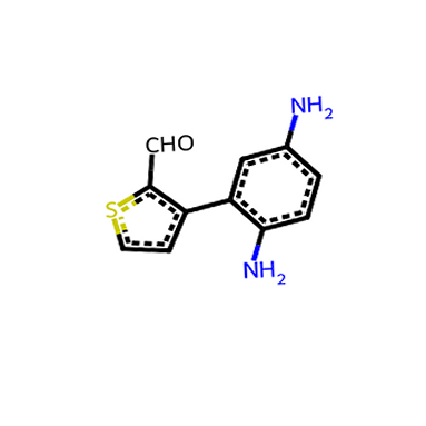 Nc1ccc(N)c(-c2ccsc2C=O)c1